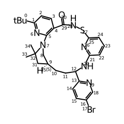 CC(C)(C)c1ccc2c(n1)N1C[C@@H](CCC(c3ccc(Br)cn3)Nc3cccc(n3)SNC2=O)CC1(C)C